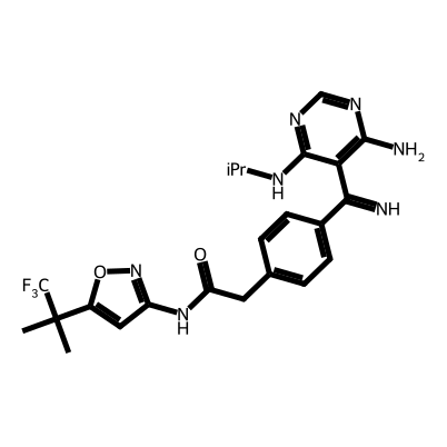 CC(C)Nc1ncnc(N)c1C(=N)c1ccc(CC(=O)Nc2cc(C(C)(C)C(F)(F)F)on2)cc1